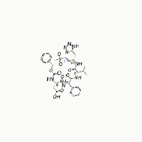 CC(C)[C@H](NC(=O)[C@@H](NC(=O)[C@H](CC(=O)O)NC(=O)OCc1ccccc1)c1ccccc1)C(=O)N[C@H](/C=C/S(C)(=O)=O)Cc1nnn[nH]1